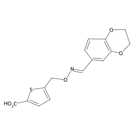 O=C(O)c1ccc(CON=Cc2ccc3c(c2)OCCO3)s1